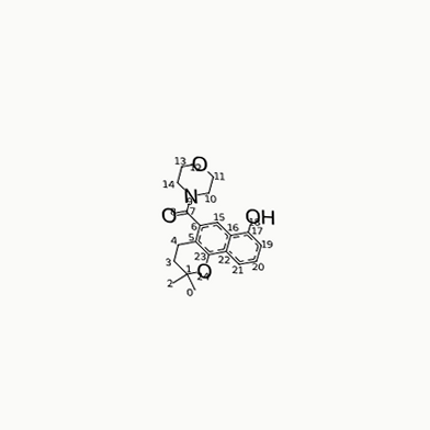 CC1(C)CCc2c(C(=O)N3CCOCC3)cc3c(O)cccc3c2O1